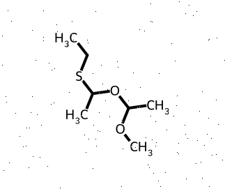 CCSC(C)OC(C)OC